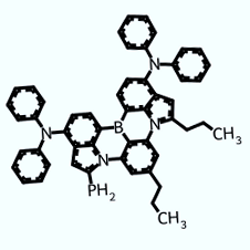 CCCc1cc2c3c(c1)-n1c(CCC)cc4c(N(c5ccccc5)c5ccccc5)ccc(c41)B3c1ccc(N(c3ccccc3)c3ccccc3)c3cc(P)n-2c13